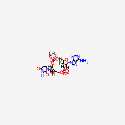 COS[P@]1(=O)OC[C@H]2O[C@@H](n3cnc4c(N)ncnc43)[C@H](OP(=O)(O)OC[C@H]3O[C@@H](n4ccc(=O)[nH]c4=O)[C@H](O1)[C@@H]3F)[C@@H]2F